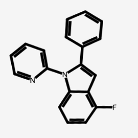 Fc1cccc2c1cc(-c1ccccc1)n2-c1ccccn1